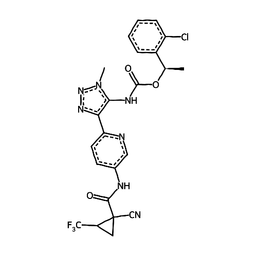 C[C@@H](OC(=O)Nc1c(-c2ccc(NC(=O)C3(C#N)CC3C(F)(F)F)cn2)nnn1C)c1ccccc1Cl